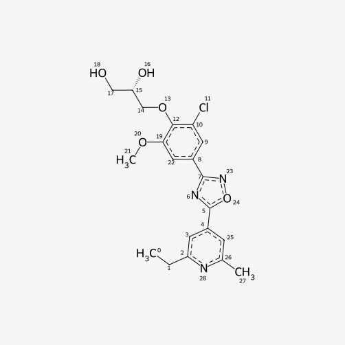 CCc1cc(-c2nc(-c3cc(Cl)c(OC[C@@H](O)CO)c(OC)c3)no2)cc(C)n1